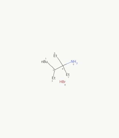 Br.CCCCC(CC)C(N)(CC)CC